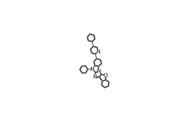 c1ccc(-c2ccc(-c3ccc4c(c3)n(-c3ccccc3)c3nc5c6ccccc6oc5n43)nc2)cc1